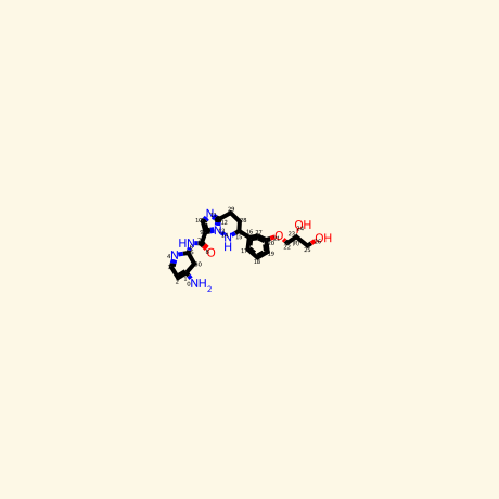 NC1=CC=NC(NC(=O)c2cnc3n2NC(c2cccc(OC[C@H](O)CO)c2)CC3)C1